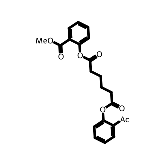 COC(=O)c1ccccc1OC(=O)CCCCC(=O)Oc1ccccc1C(C)=O